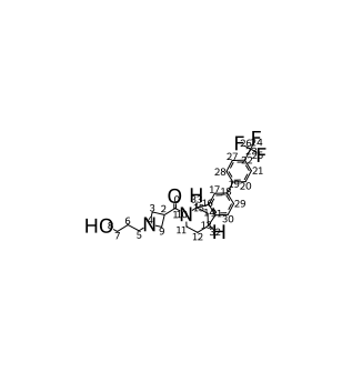 O=C(C1CN(CCCO)C1)N1CC[C@@H]2C[C@H]1c1cc(-c3ccc(C(F)(F)F)cc3)ccc12